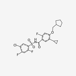 O=C(NS(=O)(=O)c1cc(Cl)c(F)cc1F)c1cc(C2CC2)c(OCC2CCCC2)cc1F